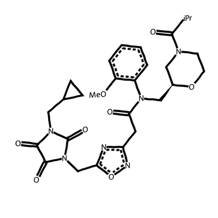 COc1ccccc1N(C[C@H]1CN(C(=O)C(C)C)CCO1)C(=O)Cc1noc(CN2C(=O)C(=O)N(CC3CC3)C2=O)n1